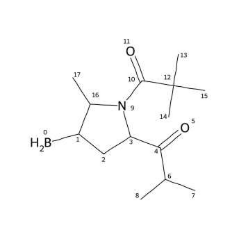 BC1CC(C(=O)C(C)C)N(C(=O)C(C)(C)C)C1C